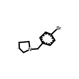 Brc1ccc(CN2C[CH]CC2)cc1